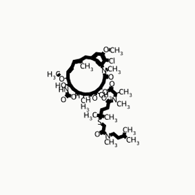 COc1cc2cc(c1Cl)N(C)C(=O)C[C@H](OC(=O)[C@H](C)N(C)C(=O)CCC(C)(C)SCC(=O)N(C)CCC(C)C)[C@@]1(C)O[C@H]1[C@H](C)[C@@H]1C[C@@](O)(NC(=O)O1)[C@H](OC)/C=C/C=C(\C)C2